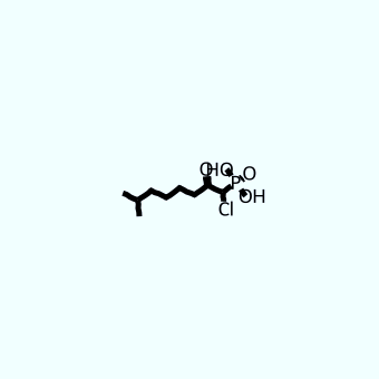 CC(C)CCCCC(=O)C(Cl)P(=O)(O)O